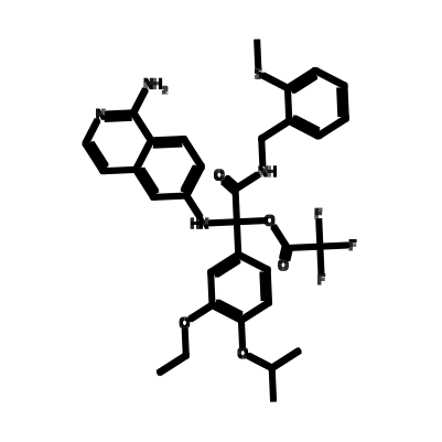 CCOc1cc(C(Nc2ccc3c(N)nccc3c2)(OC(=O)C(F)(F)F)C(=O)NCc2ccccc2SC)ccc1OC(C)C